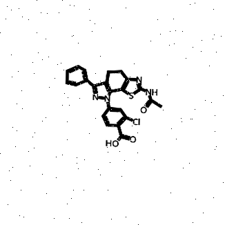 CC(=O)Nc1nc2c(s1)-c1c(c(-c3ccccc3)nn1-c1ccc(C(=O)O)c(Cl)c1)CC2